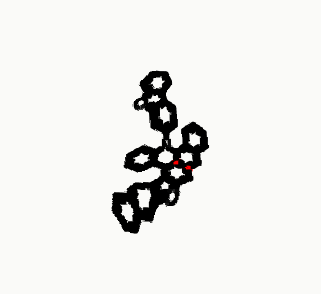 c1ccc(N(c2ccc3c(c2)oc2ccccc23)c2cccc3ccccc23)c(-c2cccc3oc4cc5ccccc5cc4c23)c1